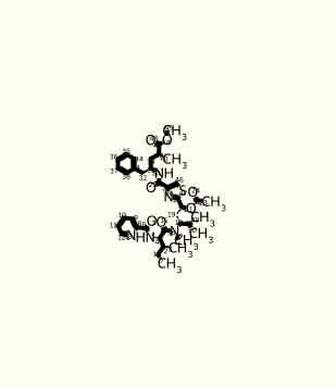 CC[C@H](C)[C@H](NC(=O)c1ccccn1)C(=O)N(C)[C@H](C[C@@H](OC(C)=O)c1nc(C(=O)N[C@@H](Cc2ccccc2)C[C@H](C)C(=O)OC)cs1)C(C)C